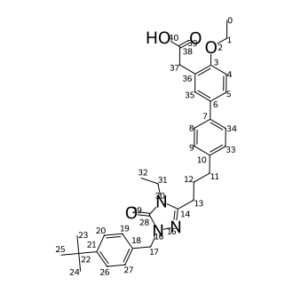 CCOc1ccc(-c2ccc(CCCc3nn(Cc4ccc(C(C)(C)C)cc4)c(=O)n3CC)cc2)cc1CC(=O)O